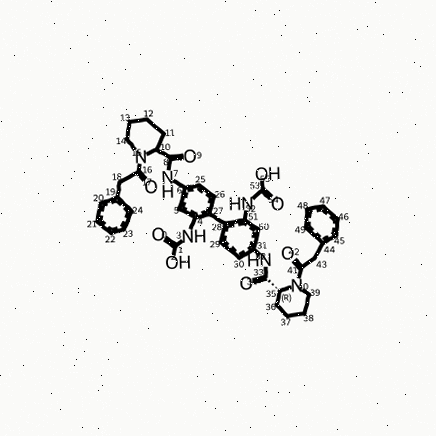 O=C(O)Nc1cc(NC(=O)C2CCCCN2C(=O)Cc2ccccc2)ccc1-c1ccc(NC(=O)[C@H]2CCCCN2C(=O)Cc2ccccc2)cc1NC(=O)O